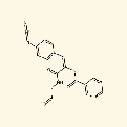 [N-]=[N+]=Nc1ccc(/C=C(/NC(=O)c2ccccc2)C(=O)NCC=O)cc1